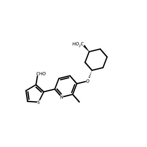 Cc1nc(-c2sccc2C=O)ccc1O[C@H]1CCC[C@H](C(=O)O)C1